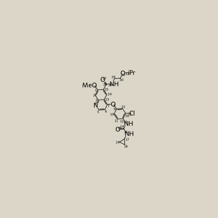 COc1cc2nccc(Oc3ccc(NC(=O)NC4CC4)c(Cl)c3)c2cc1C(=O)NCCOC(C)C